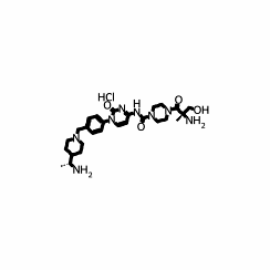 C[C@@H](N)C1CCN(Cc2ccc(-n3ccc(NC(=O)N4CCN(C(=O)[C@@](C)(N)CO)CC4)nc3=O)cc2)CC1.Cl